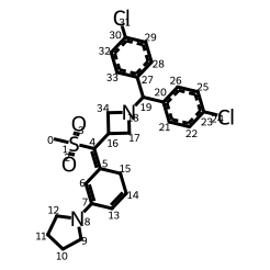 CS(=O)(=O)C(=C1C=C(N2CCCC2)C=CC1)C1CN(C(c2ccc(Cl)cc2)c2ccc(Cl)cc2)C1